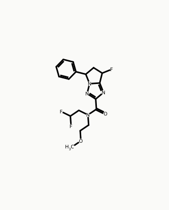 COCCN(CC(F)F)C(=O)c1nc2n(n1)C(c1ccccc1)CC2F